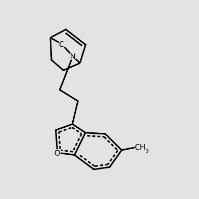 Cc1ccc2occ(CCN3CC4C=CC3CC4)c2c1